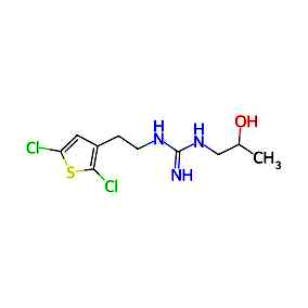 CC(O)CNC(=N)NCCc1cc(Cl)sc1Cl